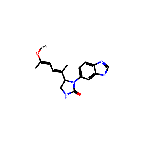 CCCO/C(C)=C/C=C(\C)C1CNC(=O)N1c1ccc2nc[nH]c2c1